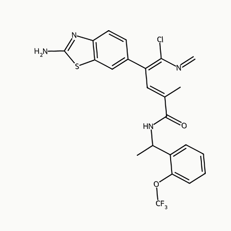 C=N/C(Cl)=C(\C=C(/C)C(=O)NC(C)c1ccccc1OC(F)(F)F)c1ccc2nc(N)sc2c1